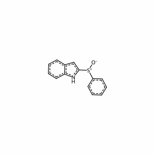 [O-][S+](c1ccccc1)c1cc2ccccc2[nH]1